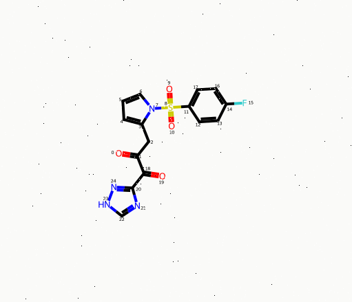 O=C(Cc1cccn1S(=O)(=O)c1ccc(F)cc1)C(=O)c1nc[nH]n1